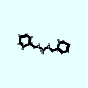 c1ccc(C[O][AlH][O]Cc2ccccn2)nc1